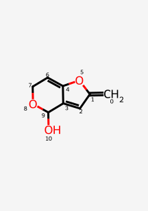 C=c1cc2c(o1)=CCOC2O